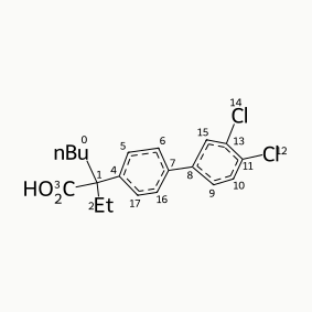 CCCCC(CC)(C(=O)O)c1ccc(-c2ccc(Cl)c(Cl)c2)cc1